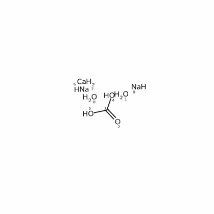 O.O.O=C(O)O.[CaH2].[NaH].[NaH]